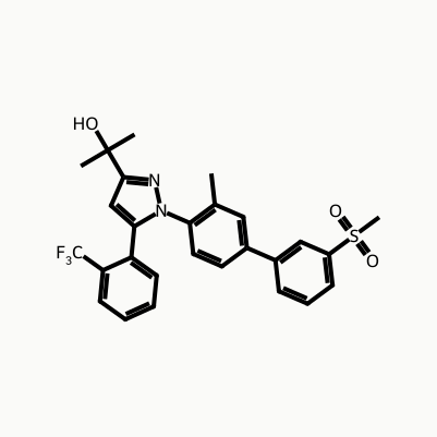 Cc1cc(-c2cccc(S(C)(=O)=O)c2)ccc1-n1nc(C(C)(C)O)cc1-c1ccccc1C(F)(F)F